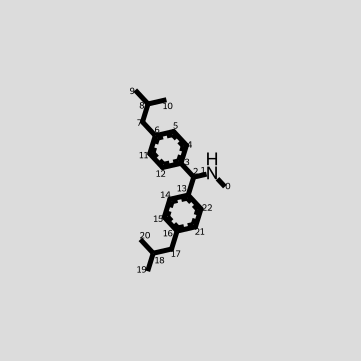 CNC(c1ccc(CC(C)C)cc1)c1ccc(CC(C)C)cc1